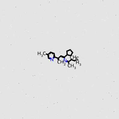 C=C(/C=C(\N=C(\C)C(C)CC)C1CCCC1)c1ccc(C)cn1